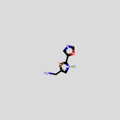 Cl.NCc1cnc(-c2cnco2)s1